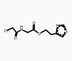 O=C(CCl)NCC(=O)OCCc1cscn1